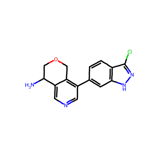 NC1COCc2c(-c3ccc4c(Cl)n[nH]c4c3)cncc21